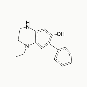 CCN1CCNc2cc(O)c(-c3ccccc3)cc21